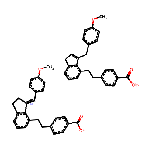 COc1ccc(/C=C2\CCc3cccc(CCc4ccc(C(=O)O)cc4)c32)cc1.COc1ccc(CC2=CCc3cccc(CCc4ccc(C(=O)O)cc4)c32)cc1